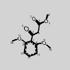 COC(=O)CC(=O)c1c(OC)cccc1OC